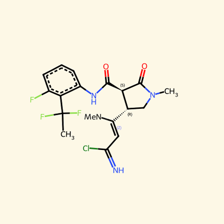 CN/C(=C\C(=N)Cl)[C@H]1CN(C)C(=O)[C@@H]1C(=O)Nc1cccc(F)c1C(C)(F)F